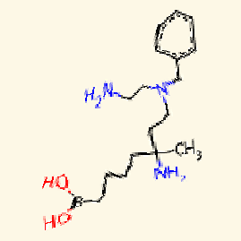 CC(N)(CCCCB(O)O)CCN(CCN)Cc1ccccc1